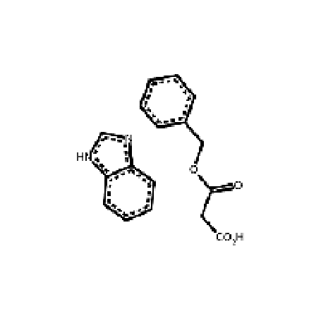 O=C(O)CC(=O)OCc1ccccc1.c1ccc2[nH]cnc2c1